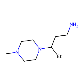 CCC(CCN)N1CCN(C)CC1